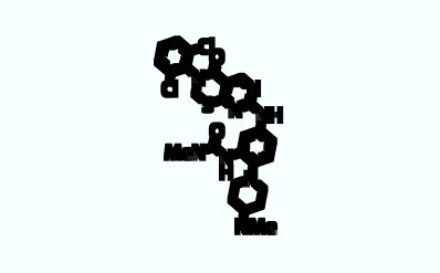 CNC(=O)Nc1cc(Nc2ncc3c(n2)SCN(c2c(Cl)cccc2Cl)C3=O)ccc1N1CCC(NC)CC1